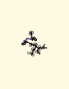 CCCCN(CCCC)CCOC(=O)C(C)(CCC(C)(CCC(C)(C)C(=O)OCCNC(C)=O)C(=O)OCCNC(=O)CCCCCN1\C(=C/C=C/C=C/C=C/C2=[N+](CCCCS(=O)(=O)[O-])c3ccc4ccccc4c3C2(C)C)C(C)(C)c2c1ccc1ccccc21)CC(C)(C)C(=O)OCCC